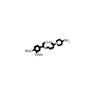 C=C(\C=C/C=N/C(=C\C=O)c1ccc(OC)c(OC)c1)N1CCC(N)CC1